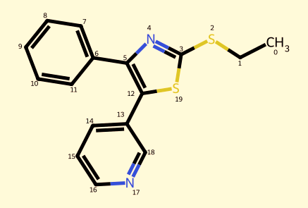 CCSc1nc(-c2ccccc2)c(-c2cccnc2)s1